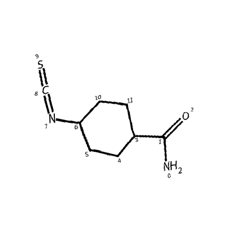 NC(=O)C1CCC(N=C=S)CC1